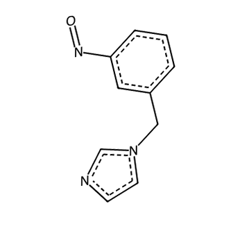 O=Nc1cccc(Cn2ccnc2)c1